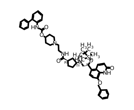 CC(C)(C)[Si](C)(C)O[C@@H](CN[C@H]1CC[C@@H](C(=O)NCCN2CCC(OC(=O)Nc3ccccc3-c3ccccc3)CC2)C1)c1ccc(OCc2ccccc2)c2[nH]c(=O)ccc12